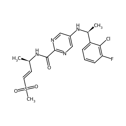 C[C@H](/C=C/S(C)(=O)=O)NC(=O)c1ncc(N[C@@H](C)c2cccc(F)c2Cl)cn1